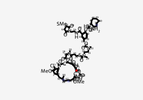 COc1cc2cc(c1Cl)N(C)C(=O)C[C@H](OC(=O)[C@H](C)N(C)C(=O)CCSC(=O)N(C)CCN(C)C(=O)OCc1ccc(OC(=O)NC3CCCC/C=C/[C@@H]3N)c(C(=O)NCCN3C(=O)CC(SC)C3=O)c1)[C@]1(C)O[C@H]1[C@H](C)[C@@H]1C[C@@](O)(NC(=O)O1)[C@H](OC)/C=C/C=C(\C)C2